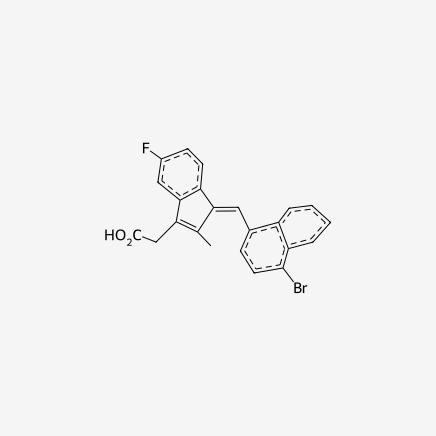 CC1=C(CC(=O)O)c2cc(F)ccc2C1=Cc1ccc(Br)c2ccccc12